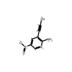 Nc1ncc([N+](=O)[O-])cc1C#CO